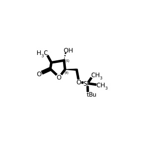 CC1C(=O)O[C@H](CO[Si](C)(C)C(C)(C)C)[C@H]1O